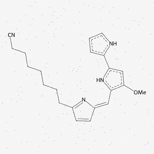 COc1cc(-c2ccc[nH]2)[nH]c1C=C1C=CC(CCCCCCCC#N)=N1